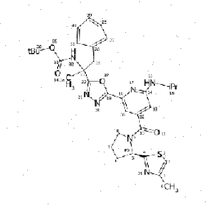 Cc1csc([C@H]2CCCN2C(=O)c2cc(NC(C)C)nc(-c3nnc(C(C)(Cc4ccccc4)NC(=O)OC(C)(C)C)o3)c2)n1